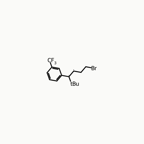 CC(C)(C)[C]([CH]CCBr)c1cccc(C(F)(F)F)c1